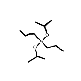 CCC[Si](CCC)(OC(C)C)OC(C)C